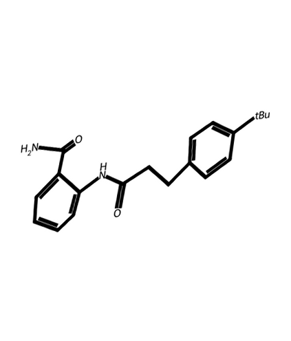 CC(C)(C)c1ccc(CCC(=O)Nc2ccccc2C(N)=O)cc1